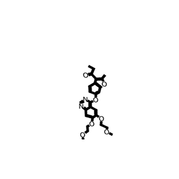 CCC(=O)c1c(C)oc2cc(Oc3ncnc4cc(OCCOC)c(OCCOC)cc34)ccc12